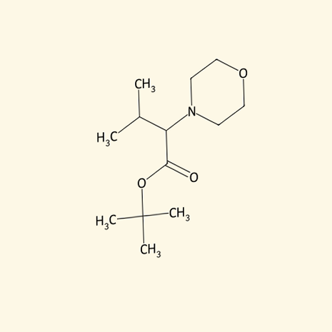 CC(C)C(C(=O)OC(C)(C)C)N1CCOCC1